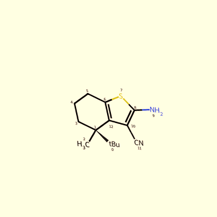 CC(C)(C)[C@@]1(C)CCCc2sc(N)c(C#N)c21